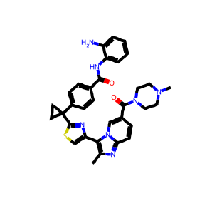 Cc1nc2ccc(C(=O)N3CCN(C)CC3)cn2c1-c1csc(C2(c3ccc(C(=O)Nc4ccccc4N)cc3)CC2)n1